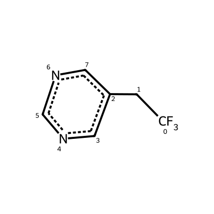 FC(F)(F)Cc1cncnc1